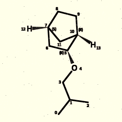 CC(C)CO[C@@H]1C[C@H]2CC[C@@H]1C2